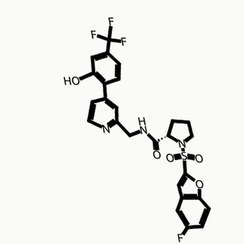 O=C(NCc1cc(-c2ccc(C(F)(F)F)cc2O)ccn1)[C@@H]1CCCN1S(=O)(=O)c1cc2cc(F)ccc2o1